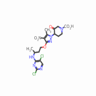 Cc1c([N+](=O)[O-])c(OCCC(C)Nc2nc(Cl)ncc2Cl)nn1C1CCN(C(=O)O)CC1=O